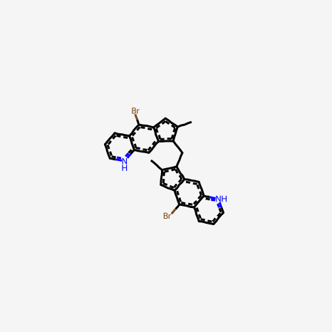 Cc1cc2c(Br)c3ccc[nH]c3cc2c1Cc1c(C)cc2c(Br)c3ccc[nH]c3cc12